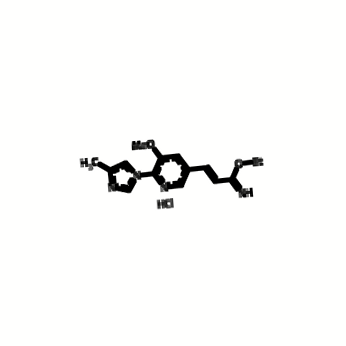 CCOC(=N)/C=C/c1cnc(-n2cnc(C)c2)c(OC)c1.Cl